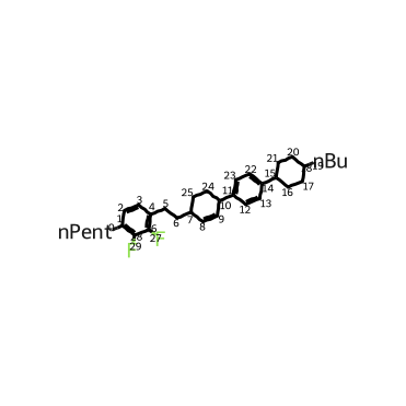 CCCCCc1ccc(CCC2C=CC(c3ccc(C4CCC(CCCC)CC4)cc3)CC2)c(F)c1F